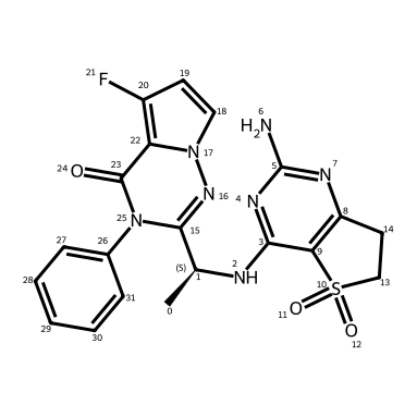 C[C@H](Nc1nc(N)nc2c1S(=O)(=O)CC2)c1nn2ccc(F)c2c(=O)n1-c1ccccc1